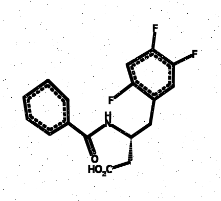 O=C(O)C[C@@H](Cc1cc(F)c(F)cc1F)NC(=O)c1ccccc1